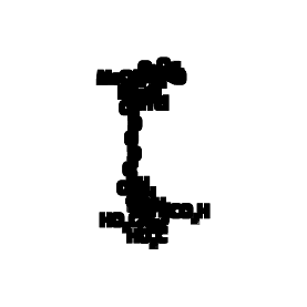 COc1cc2c(cc1-c1cncc(NC(=O)CCOCCOCCOCCOCCNC(=O)[C@H](CS(=O)(=O)O)NC(=O)CN3CCN(CC(=O)O)CCN(CC(=O)O)CCN(CC(=O)O)CC3)c1)-c1c(c(C(=O)N3CCOCC3(C)C)nn1-c1cc(Cl)cc(Cl)c1)CO2